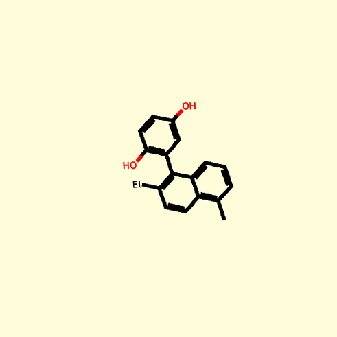 CCc1ccc2c(C)cccc2c1-c1cc(O)ccc1O